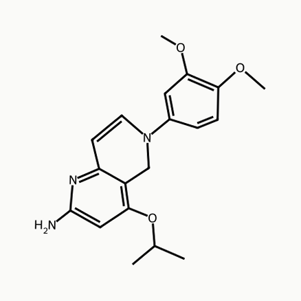 COc1ccc(N2C=Cc3nc(N)cc(OC(C)C)c3C2)cc1OC